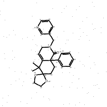 CC1(C)C2=CCN(Cc3cccnc3)C(=O)C2(c2ccccc2)CCC12OCCO2